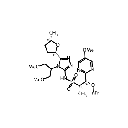 CCCO[C@@H](c1ncc(OC)cn1)[C@H](C)S(=O)(=O)Nc1nnc([C@@H]2CC[C@H](C)O2)n1C(COC)COC